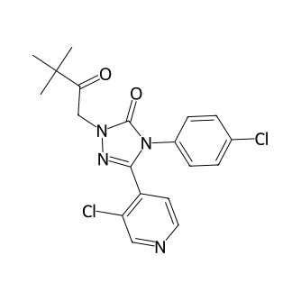 CC(C)(C)C(=O)Cn1nc(-c2ccncc2Cl)n(-c2ccc(Cl)cc2)c1=O